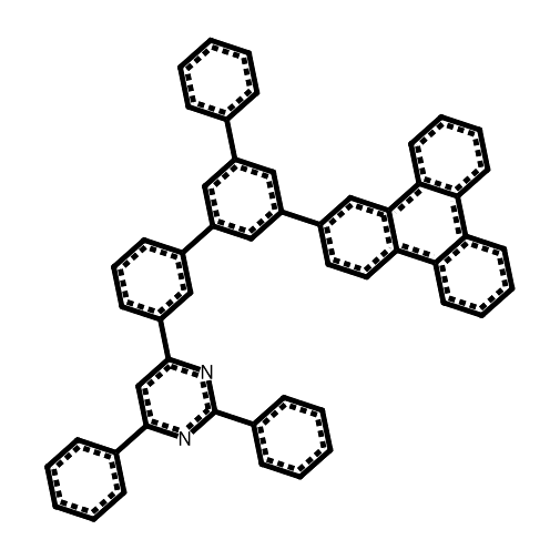 c1ccc(-c2cc(-c3cccc(-c4cc(-c5ccccc5)nc(-c5ccccc5)n4)c3)cc(-c3ccc4c5ccccc5c5ccccc5c4c3)c2)cc1